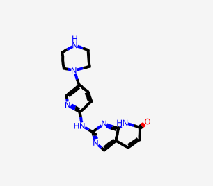 O=c1ccc2cnc(Nc3ccc(N4CCNCC4)cn3)nc2[nH]1